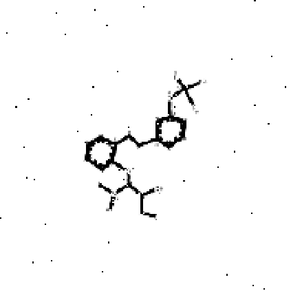 CCC(O)C(Oc1ccccc1CCc1cccc(OC(F)(F)F)c1)N(C)C